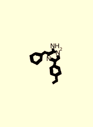 CCc1ccc(-c2cnc(N)c(Cc3ccccc3)n2)cc1